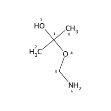 CC(C)(O)OCN